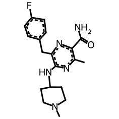 Cc1nc(NC2CCN(C)CC2)c(Cc2ccc(F)cc2)nc1C(N)=O